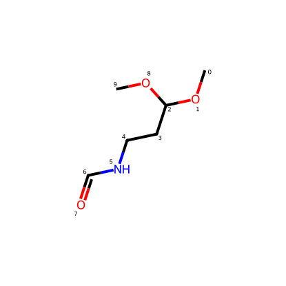 COC(CCNC=O)OC